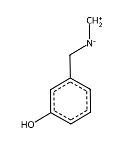 [CH2+][N-]Cc1cccc(O)c1